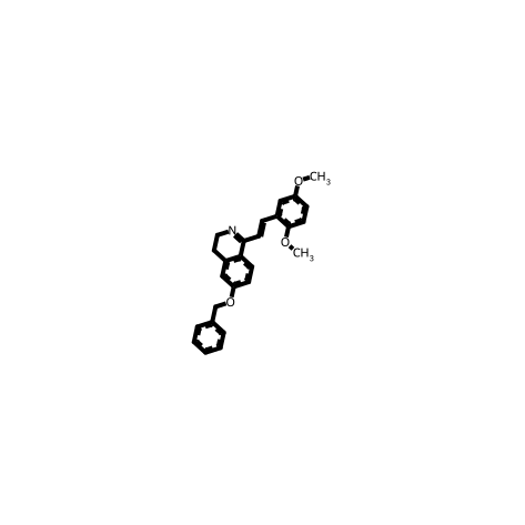 COc1ccc(OC)c(/C=C/C2=NCCc3cc(OCc4ccccc4)ccc32)c1